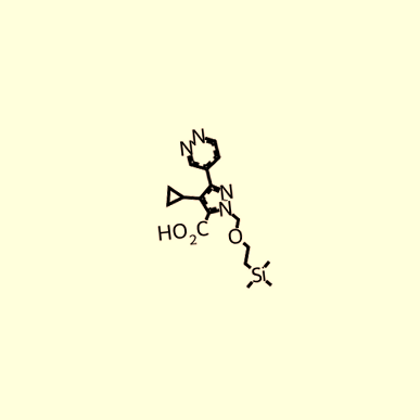 C[Si](C)(C)CCOCn1nc(-c2ccnnc2)c(C2CC2)c1C(=O)O